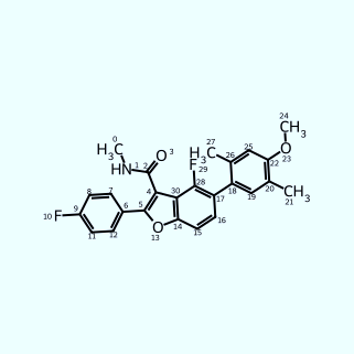 CNC(=O)c1c(-c2ccc(F)cc2)oc2ccc(-c3cc(C)c(OC)cc3C)c(F)c12